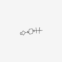 CC(C)(C)C(C)(C)N1CCN(C2COC2)CC1